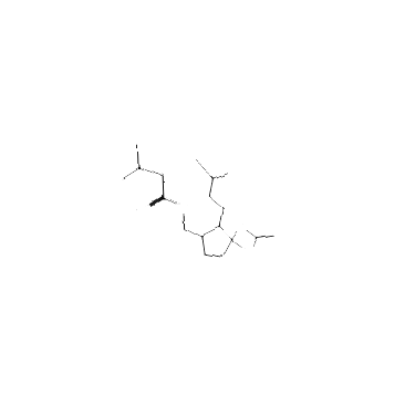 CC(C)CCC1C(COC(=O)CC(C)C)CCC12OC(C)O2